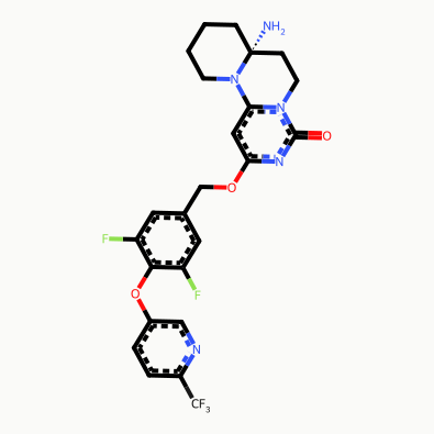 N[C@@]12CCCCN1c1cc(OCc3cc(F)c(Oc4ccc(C(F)(F)F)nc4)c(F)c3)nc(=O)n1CC2